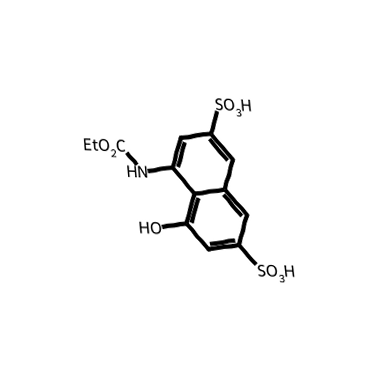 CCOC(=O)Nc1cc(S(=O)(=O)O)cc2cc(S(=O)(=O)O)cc(O)c12